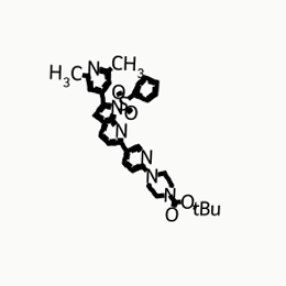 Cc1cc(-c2cc3ccc(-c4ccc(N5CCN(C(=O)OC(C)(C)C)CC5)nc4)nc3n2S(=O)(=O)c2ccccc2)cc(C)n1